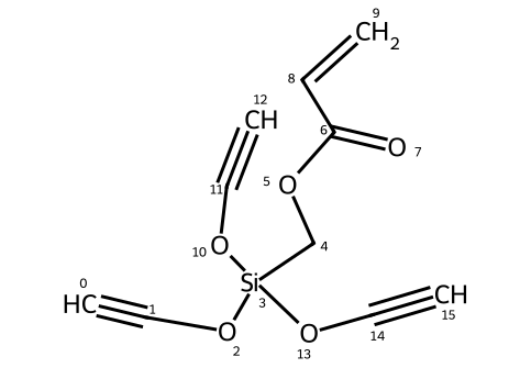 C#CO[Si](COC(=O)C=C)(OC#C)OC#C